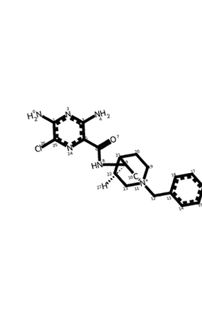 Nc1nc(N)c(C(=O)N[C@@H]2C[N+]3(Cc4ccccc4)CCC2CC3)nc1Cl